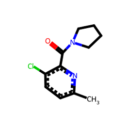 Cc1ccc(Cl)c(C(=O)N2CCCC2)n1